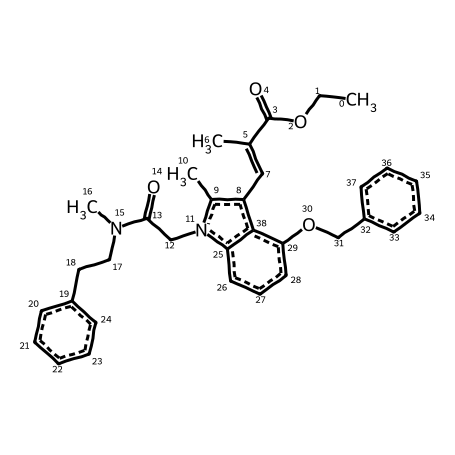 CCOC(=O)/C(C)=C/c1c(C)n(CC(=O)N(C)CCc2ccccc2)c2cccc(OCc3ccccc3)c12